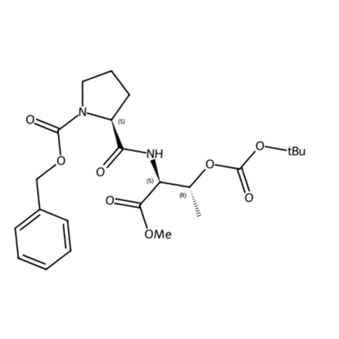 COC(=O)[C@@H](NC(=O)[C@@H]1CCCN1C(=O)OCc1ccccc1)[C@@H](C)OC(=O)OC(C)(C)C